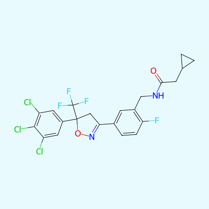 O=C(CC1CC1)NCc1cc(C2=NOC(c3cc(Cl)c(Cl)c(Cl)c3)(C(F)(F)F)C2)ccc1F